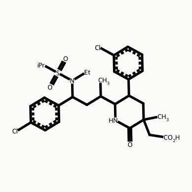 CCN(C(CC(C)C1NC(=O)C(C)(CC(=O)O)CC1c1cccc(Cl)c1)c1ccc(Cl)cc1)S(=O)(=O)C(C)C